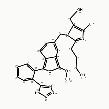 CCCCc1nc(Cl)c(CO)n1Cc1ccc2c(-c3ccccc3-c3nnn[nH]3)oc(OC)c2c1